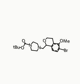 COc1c(Br)ccc2c1CCOC2CN1CCN(C(=O)OC(C)(C)C)CC1